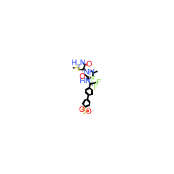 CSC[C@H](NC(=O)[C@H](CC(C)C)N[C@@H](c1ccc(-c2ccc(S(C)(=O)=O)cc2)cc1)C(F)(F)F)C(N)=O